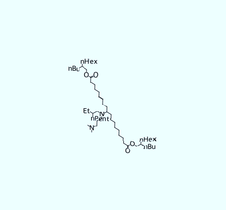 CCCCCCC(CCCC)COC(=O)CCCCCCCCC(CCCCCCCCC(=O)OCC(CCCC)CCCCCC)N(CCCN(C)C)CC(CC)CCCCC